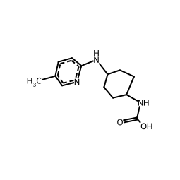 Cc1ccc(NC2CCC(NC(=O)O)CC2)nc1